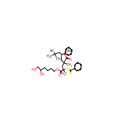 CCCCOC(=O)C(C)(CC(CC(C)(C)C#N)c1ccccc1)CC(C)(SC(=S)c1ccccc1)C(=O)OCCCCC(O)CO